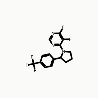 Fc1ncnc(N2CCCC2c2ccc(C(F)(F)F)cc2)c1F